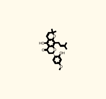 COc1ccc([C@@H]2CC(=O)c3c(O)c4c(c(CC=C(C)C)c3O2)OC(C)(C)C=C4)c(O)c1